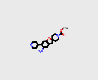 CC(C)(C)OC(=O)N1CCC2(CC1)Cc1cc(N)c(-c3ccncc3)cc1O2